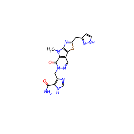 Cn1c2nc(Cc3cc[nH]n3)sc2c2cnn(Cc3nc[nH]c3C(N)=O)c(=O)c21